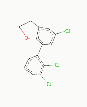 Clc1cc2c(c(-c3cccc(Cl)c3Cl)c1)O[CH]C2